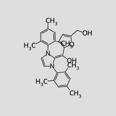 Cc1cc(C)c(N2C=CN(c3c(C)cc(C)cc3C)C2=C(O)c2ccc(CO)o2)c(C)c1